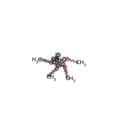 CCCCCCCCOc1ccc(-c2cc(B(c3ccccc3)c3ccccc3)c(-c3ccc(OCCCCCCCC)cc3)c(-c3ccc(OCCCCCCCC)cc3)c2-c2ccc(OCCCCCCCC)cc2)cc1